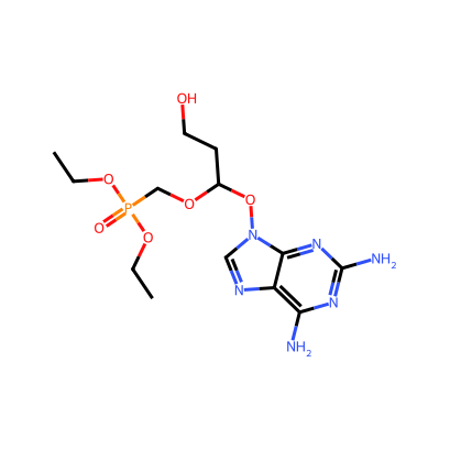 CCOP(=O)(COC(CCO)On1cnc2c(N)nc(N)nc21)OCC